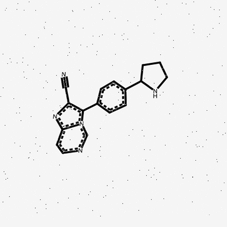 N#Cc1nc2ccncn2c1-c1ccc(C2CCCN2)cc1